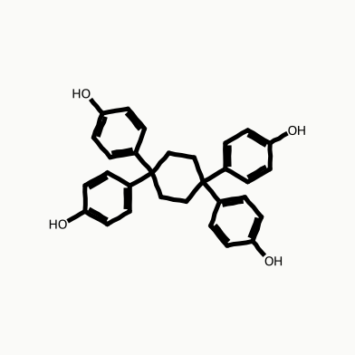 Oc1ccc(C2(c3ccc(O)cc3)CCC(c3ccc(O)cc3)(c3ccc(O)cc3)CC2)cc1